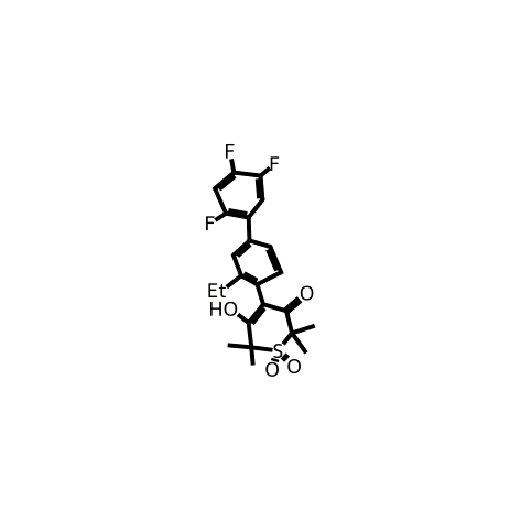 CCc1cc(-c2cc(F)c(F)cc2F)ccc1C1=C(O)C(C)(C)S(=O)(=O)C(C)(C)C1=O